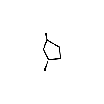 C[C@@H]1CC[C@H](C)C1